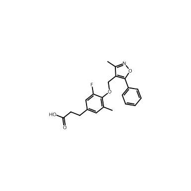 Cc1cc(CCC(=O)O)cc(F)c1OCc1c(C)noc1-c1ccccc1